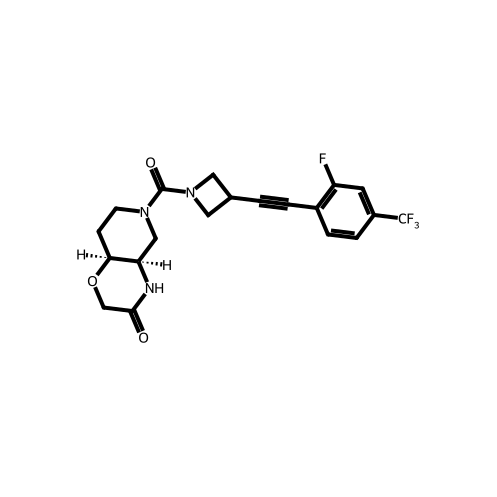 O=C1CO[C@H]2CCN(C(=O)N3CC(C#Cc4ccc(C(F)(F)F)cc4F)C3)C[C@H]2N1